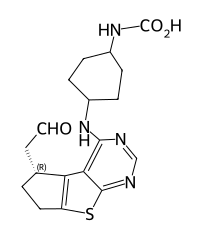 O=CC[C@H]1CCc2sc3ncnc(NC4CCC(NC(=O)O)CC4)c3c21